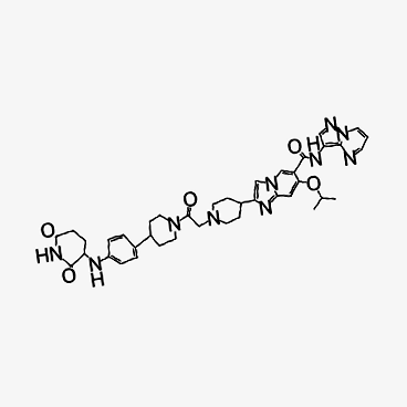 CC(C)Oc1cc2nc(C3CCN(CC(=O)N4CCC(c5ccc(NC6CCC(=O)NC6=O)cc5)CC4)CC3)cn2cc1C(=O)Nc1cnn2cccnc12